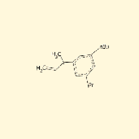 C=C[C](C)c1cc(CCCC)cc(C(C)C)c1